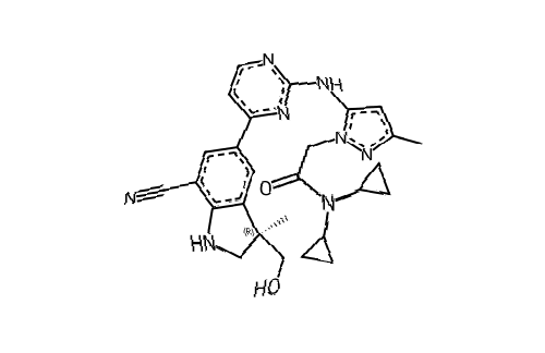 Cc1cc(Nc2nccc(-c3cc(C#N)c4c(c3)[C@@](C)(CO)CN4)n2)n(CC(=O)N(C2CC2)C2CC2)n1